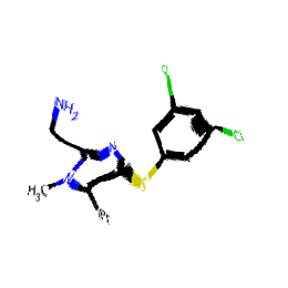 CC(C)c1c(Sc2cc(Cl)cc(Cl)c2)nc(CN)n1C